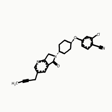 CC#CCc1cnc2c(c1)C(=O)N([C@H]1CC[C@H](Oc3ccc(C#N)c(Cl)c3)CC1)C2